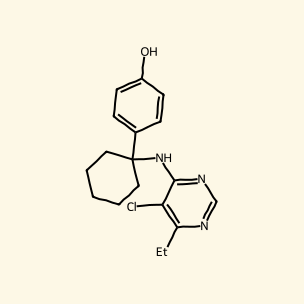 CCc1ncnc(NC2(c3ccc(O)cc3)CCCCC2)c1Cl